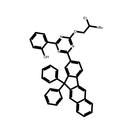 CCCCC(CC)COc1nc(-c2ccc3c(c2)C(c2ccccc2)(c2ccccc2)c2cc4ccccc4cc2-3)nc(-c2ccccc2O)n1